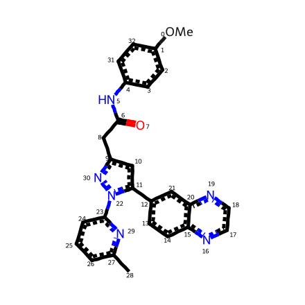 COc1ccc(NC(=O)Cc2cc(-c3ccc4nccnc4c3)n(-c3cccc(C)n3)n2)cc1